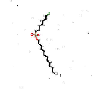 CCCCCCCCCCCCCOS(=O)(=O)CCCCCCCF